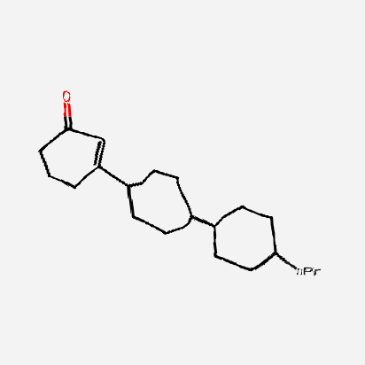 CCCC1CCC(C2CCC(C3=CC(=O)CCC3)CC2)CC1